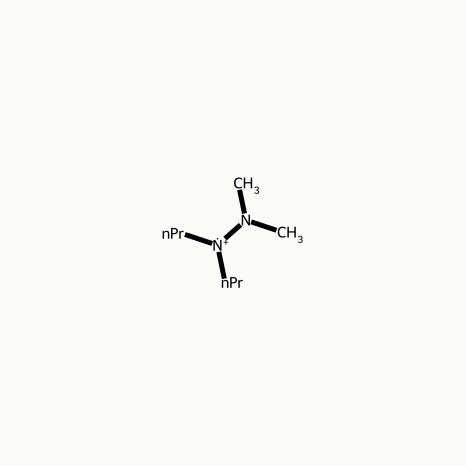 CCC[N+](CCC)N(C)C